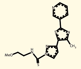 COCCNC(=S)n1ccc(-c2sc(-c3cccnc3)nc2C)n1